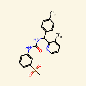 CS(=O)(=O)c1cccc(NC(=O)NC(c2ccc(C(F)(F)F)cc2)c2ncccc2C(F)(F)F)c1